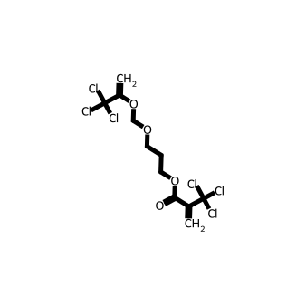 C=C(OCOCCCOC(=O)C(=C)C(Cl)(Cl)Cl)C(Cl)(Cl)Cl